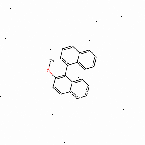 [Zn][O]c1ccc2ccccc2c1-c1cccc2ccccc12